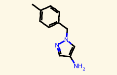 Cc1ccc(Cn2cc(N)cn2)cc1